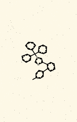 Cc1ccc(-c2ccccc2-c2cn(C(c3ccccc3)(c3ccccc3)c3ccccc3)cn2)cc1